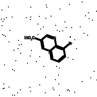 CCOC(=O)c1cnc2c(Br)cccc2c1